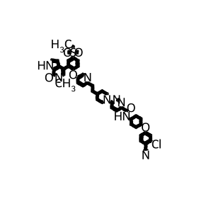 CCS(=O)(=O)c1ccc(Oc2ccc(CCC3CCN(c4ccc(C(=O)N[C@H]5CC[C@H](Oc6ccc(C#N)c(Cl)c6)CC5)nn4)CC3)nc2)c(-c2cn(C)c(=O)c3[nH]ccc23)c1